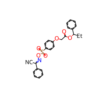 CCC(OC(=O)COc1ccc(S(=O)(=O)O/N=C(\C#N)c2ccccc2)cc1)c1ccccc1